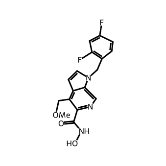 COCc1c(C(=O)NO)ncc2c1ccn2Cc1ccc(F)cc1F